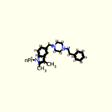 CCCn1c(C)c(C)c2cc(CN3CCN(CCc4ccccc4)CC3)ccc21